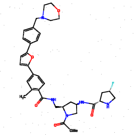 COC(=O)N1C[C@H](NC(=O)[C@@H]2C[C@H](F)CN2)C[C@@H]1CNC(=O)c1ccc(-c2ccc(-c3ccc(CN4CCOCC4)cc3)o2)cc1C